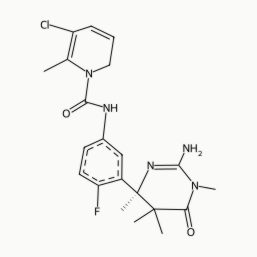 CC1=C(Cl)C=CCN1C(=O)Nc1ccc(F)c([C@@]2(C)N=C(N)N(C)C(=O)C2(C)C)c1